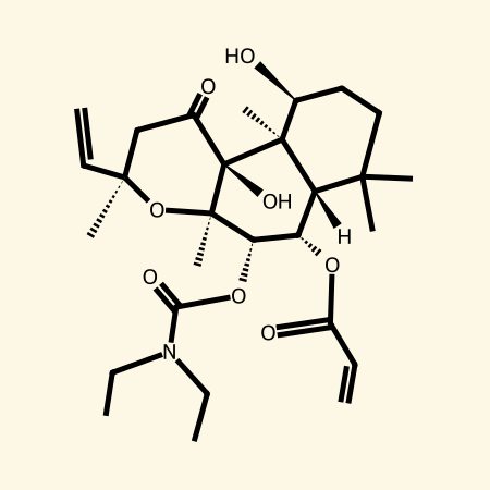 C=CC(=O)O[C@H]1[C@H]2C(C)(C)CC[C@H](O)[C@]2(C)[C@@]2(O)C(=O)C[C@](C)(C=C)O[C@]2(C)[C@H]1OC(=O)N(CC)CC